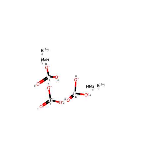 [Bi+3].[Bi+3].[NaH].[NaH].[O]=[Ti]([O-])[O-].[O]=[Ti]([O-])[O-].[O]=[Ti]([O-])[O-]